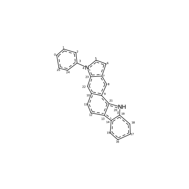 c1ccc(-n2ccc3cc4c(ccc5c6ccccc6[nH]c45)cc32)cc1